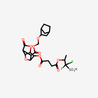 CC(OC(=O)CCC(=O)OC1C2OC(=O)C3C2OC1C3C(=O)OCOC1CC2CCC1C2)C(F)(F)S(=O)(=O)O